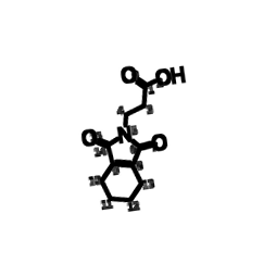 O=C(O)CCN1C(=O)C2=C(CCCC2)C1=O